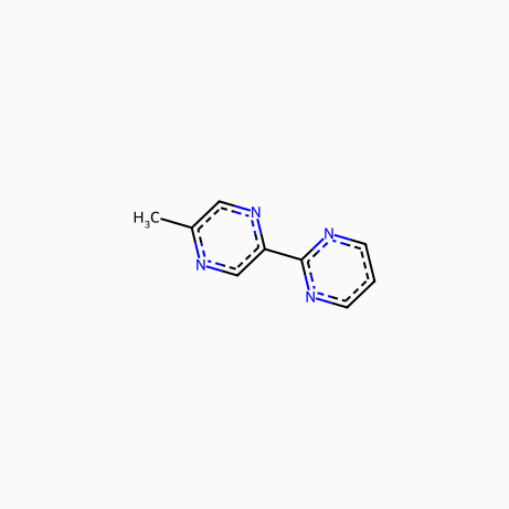 Cc1cnc(-c2ncccn2)cn1